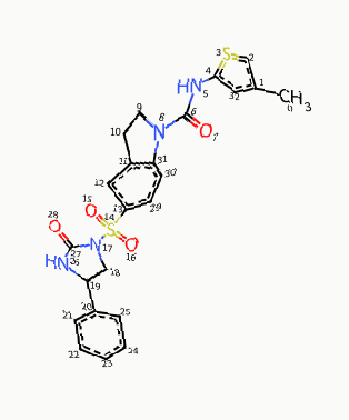 Cc1csc(NC(=O)N2CCc3cc(S(=O)(=O)N4CC(c5ccccc5)NC4=O)ccc32)c1